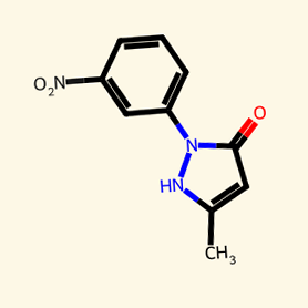 Cc1cc(=O)n(-c2cccc([N+](=O)[O-])c2)[nH]1